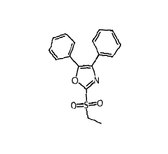 CCS(=O)(=O)c1nc(-c2ccccc2)c(-c2ccccc2)o1